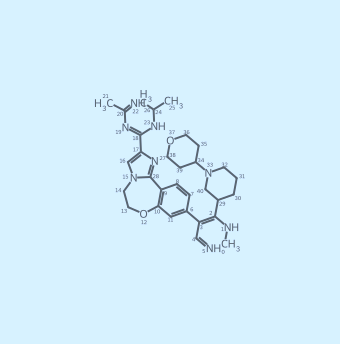 CN/C(=C(\C=N)c1ccc2c(c1)OCCn1cc(/C(=N/C(C)=N)NC(C)C)nc1-2)C1CCCN(C2CCOCC2)C1